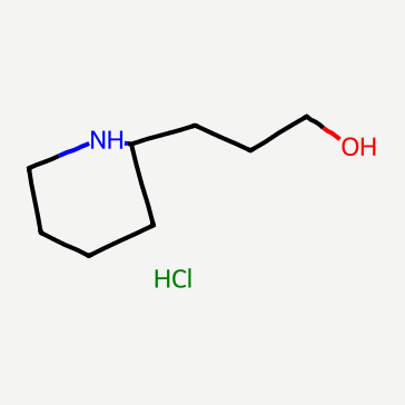 Cl.OCCCC1CCCCN1